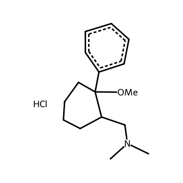 COC1(c2ccccc2)CCCCC1CN(C)C.Cl